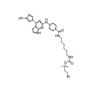 CCCn1cc(-c2nc(Nc3ccc(C(=O)NCCCCCCNC(=O)OC(C)(C)CCC(C)C)cc3)nc3[nH]ccc23)cn1